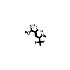 CNC(/C=C(\C)C(N)OC)C(C)(F)F